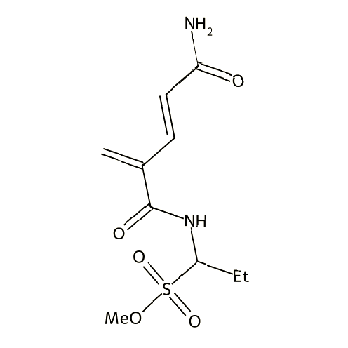 C=C(C=CC(N)=O)C(=O)NC(CC)S(=O)(=O)OC